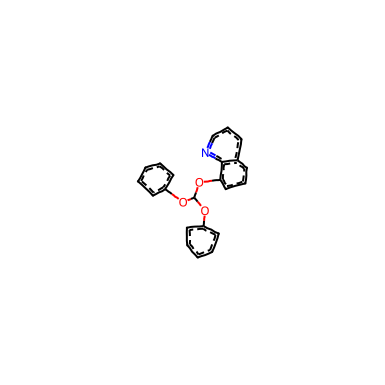 c1ccc(OC(Oc2ccccc2)Oc2cccc3cccnc23)cc1